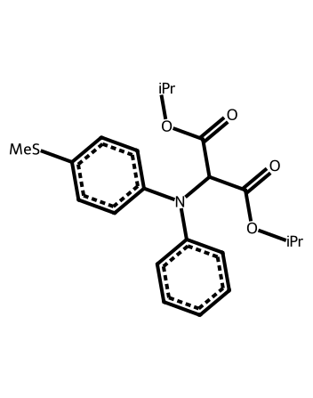 CSc1ccc(N(c2ccccc2)C(C(=O)OC(C)C)C(=O)OC(C)C)cc1